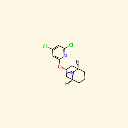 Clc1cc(Cl)nc(O[C@@H]2C[C@H]3CCC[C@@H](C2)N3)c1